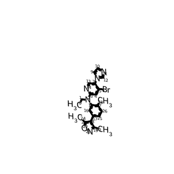 CCN(c1cc(Br)c(-n2ccnc2)cn1)c1cc(-c2c(C)noc2C)ccc1C